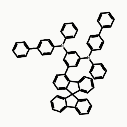 c1ccc(-c2ccc(N(c3ccccc3)c3cc(-c4cccc5c4-c4ccccc4C54c5ccccc5-c5ccccc54)cc(N(c4ccccc4)c4ccc(-c5ccccc5)cc4)c3)cc2)cc1